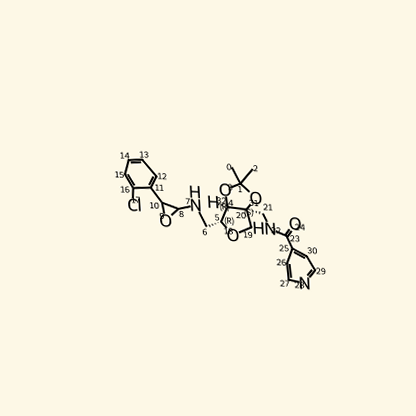 CC1(C)O[C@@H]2[C@@H](CNC3OC3c3ccccc3Cl)OC[C@]2(CNC(=O)c2ccncc2)O1